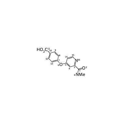 CNC(=O)c1cc(Oc2ccc(C(=O)O)cc2)ccn1